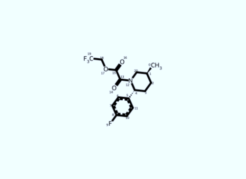 C[C@H]1CC[C@H](c2ccc(F)cc2)N(C(=O)C(=O)OCC(F)(F)F)C1